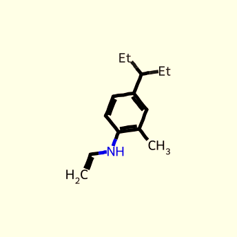 C=CNc1ccc(C(CC)CC)cc1C